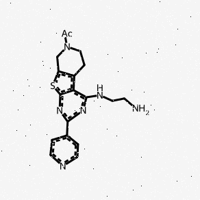 CC(=O)N1CCc2c(sc3nc(-c4ccncc4)nc(NCCN)c23)C1